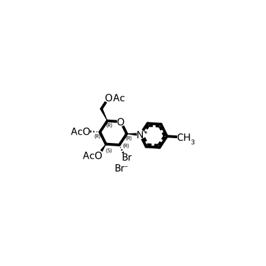 CC(=O)OC[C@H]1O[C@@H]([n+]2ccc(C)cc2)[C@H](Br)[C@@H](OC(C)=O)[C@@H]1OC(C)=O.[Br-]